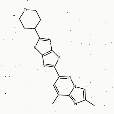 Cc1cn2nc(-c3nc4sc(C5CCOCC5)cc4s3)cc(C)c2n1